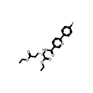 CCOC(=O)CC[C@H](NC(=O)c1ccc(-c2ccc(F)cc2)nc1)C(=O)OCC